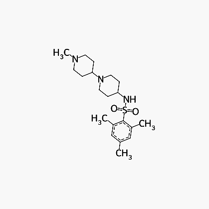 Cc1cc(C)c(S(=O)(=O)NC2CCN(C3CCN(C)CC3)CC2)c(C)c1